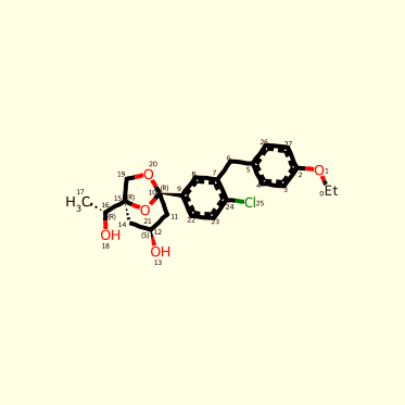 CCOc1ccc(Cc2cc([C@]34C[C@@H](O)C[C@]([C@@H](C)O)(CO3)O4)ccc2Cl)cc1